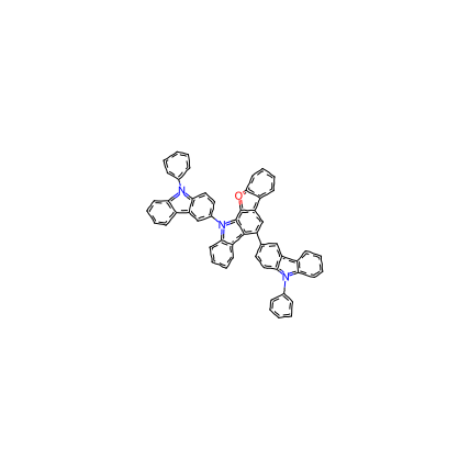 c1ccc(-n2c3ccccc3c3cc(-c4cc5c6ccccc6oc5c5c4c4ccccc4n5-c4ccc5c(c4)c4ccccc4n5-c4ccccc4)ccc32)cc1